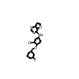 Fc1cccc(COc2ccc(Nc3ncnc4ccoc34)cc2Cl)c1